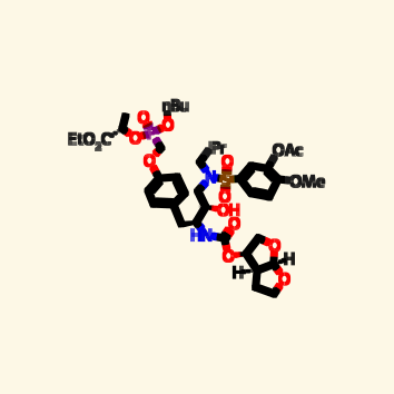 CCCCOP(=O)(COc1ccc(C[C@H](NC(=O)O[C@H]2CO[C@H]3OCC[C@H]32)[C@H](O)CN(CC(C)C)S(=O)(=O)c2ccc(OC)c(OC(C)=O)c2)cc1)O[C@@H](C)C(=O)OCC